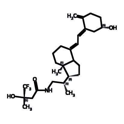 C=C1CC[C@H](O)CC1=CC=C1CCC[C@@]2(C)C1CC[C@@H]2[C@H](C)CNC(=O)C[C@](C)(O)C(F)(F)F